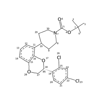 CC(C)(C)OC(=O)N1CCC(c2cccc3c2O[C@H](c2ccc(Cl)cc2Cl)CO3)CC1